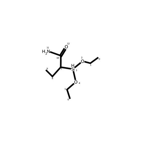 CCO[SiH](OCC)C(CC)C(N)=O